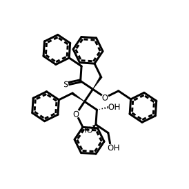 OC[C@@H](O)[C@@H](O)[C@](Cc1ccccc1)(Oc1ccccc1)[C@@](Cc1ccccc1)(OCc1ccccc1)C(=S)Cc1ccccc1